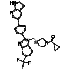 O=C(C1CC1)N1CC[C@H](Cn2c(-c3ccc(-c4cnc5[nH]ccc5c4)cc3)nc3cc(C(F)(F)F)ccc32)C1